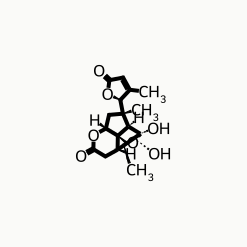 CC1=CC(=O)O[C@@H]1[C@@]1(C)C[C@H]2OC(=O)C[C@H]3[C@@H](C)[C@H](O)[C@]4(O)OC[C@]23[C@@H]14